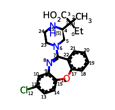 CC[C@](C)(C(=O)O)[C@H]1CN(C2=Nc3cc(Cl)ccc3Oc3ccccc32)CCN1